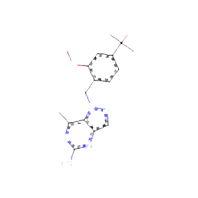 COc1cc(C(C)(C)O)ccc1Cn1ncc2nc(N)nc(C)c21